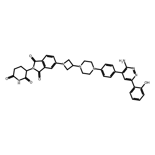 Nc1nnc(-c2ccccc2O)cc1-c1ccc(N2CCN(C3CN(c4ccc5c(c4)C(=O)N(C4CCC(=O)NC4=O)C5=O)C3)CC2)cc1